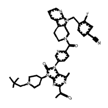 CC(=O)c1nc(C)c2c(n1)n(C1CCN(CC(C)(C)C)CC1)c(=O)n2-c1ccc(C(=O)N2CCc3c(n(Cc4ccc(C#N)cc4F)c4ncccc34)C2)nc1